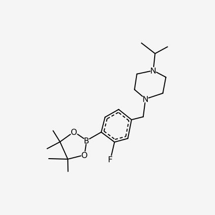 CC(C)N1CCN(Cc2ccc(B3OC(C)(C)C(C)(C)O3)c(F)c2)CC1